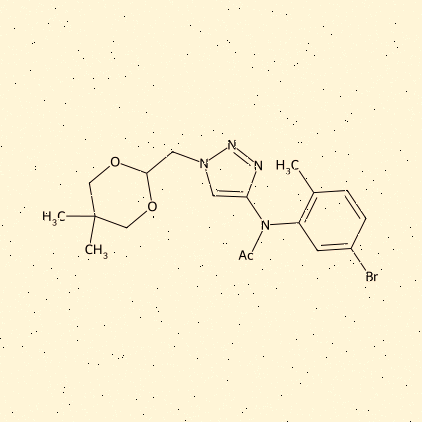 CC(=O)N(c1cn(CC2OCC(C)(C)CO2)nn1)c1cc(Br)ccc1C